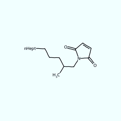 CCCCCCCCCCC(C)CN1C(=O)C=CC1=O